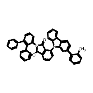 Cc1ccccc1-c1ccc2c3ccccc3n(-c3cccc4c3C(=O)N(c3cccc(-c5ccccc5)c3-c3ccccc3)C4O)c2c1